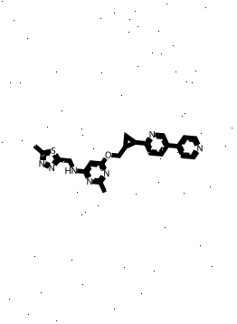 Cc1nc(NCc2nnc(C)s2)cc(OCC2CC2c2ccc(-c3ccncc3)cn2)n1